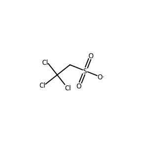 [O]S(=O)(=O)CC(Cl)(Cl)Cl